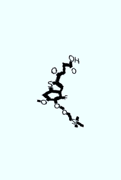 COc1cc2sc(C(=O)CCC(=O)O)cc2c(F)c1OCOCC[Si](C)(C)C